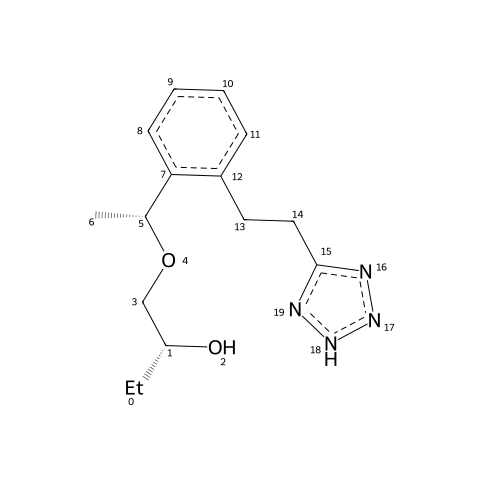 CC[C@@H](O)CO[C@H](C)c1ccccc1CCc1nn[nH]n1